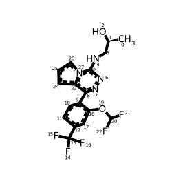 C[C@H](O)CNc1nnc(-c2ccc(C(F)(F)F)cc2OC(F)F)c2cccn12